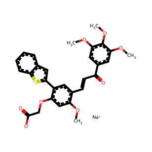 COc1cc(OCC(=O)[O-])c(-c2cc3ccccc3s2)cc1C=CC(=O)c1cc(OC)c(OC)c(OC)c1.[Na+]